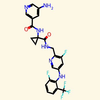 Nc1cncc(C(=O)NC2(C(=O)NCc3ncc(Nc4c(F)cccc4C(F)(F)F)cc3F)CC2)c1